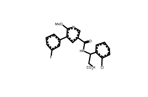 COc1ncc(C(=O)NC(CC(=O)O)c2ccccc2Cl)cc1-c1cccc(F)c1